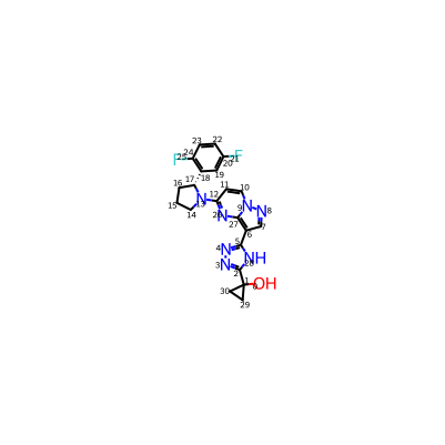 OC1(c2nnc(-c3cnn4ccc(N5CCC[C@@H]5c5cc(F)ccc5F)nc34)[nH]2)CC1